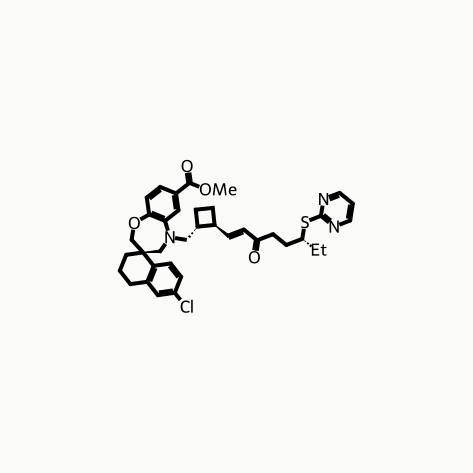 CC[C@H](CCC(=O)/C=C/[C@@H]1CC[C@H]1CN1C[C@@]2(CCCc3cc(Cl)ccc32)COc2ccc(C(=O)OC)cc21)Sc1ncccn1